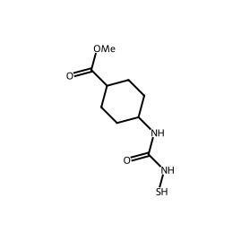 COC(=O)C1CCC(NC(=O)NS)CC1